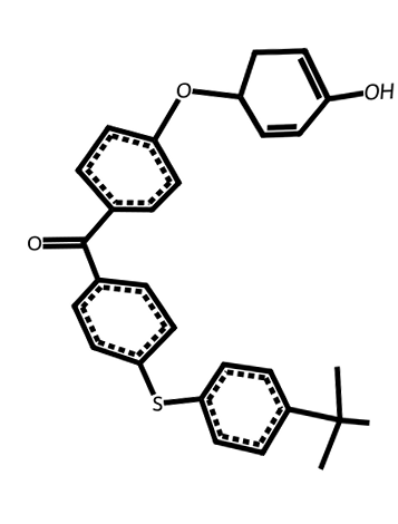 CC(C)(C)c1ccc(Sc2ccc(C(=O)c3ccc(OC4C=CC(O)=CC4)cc3)cc2)cc1